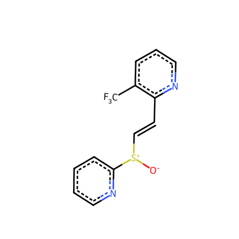 [O-][S+](/C=C/c1ncccc1C(F)(F)F)c1ccccn1